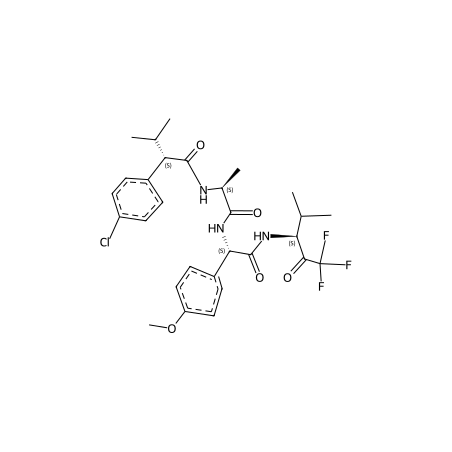 COc1ccc([C@H](NC(=O)[C@H](C)NC(=O)[C@H](c2ccc(Cl)cc2)C(C)C)C(=O)N[C@H](C(=O)C(F)(F)F)C(C)C)cc1